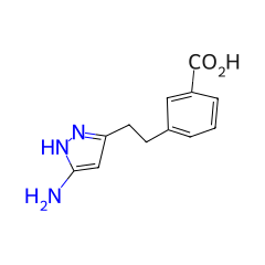 Nc1cc(CCc2cccc(C(=O)O)c2)n[nH]1